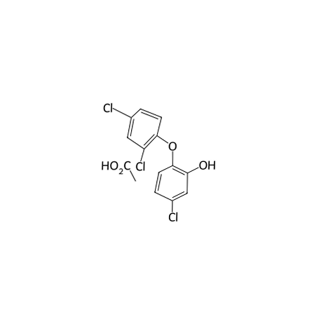 CC(=O)O.Oc1cc(Cl)ccc1Oc1ccc(Cl)cc1Cl